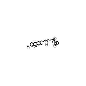 C=c1cc2c(cc1CCCNCCCC(=O)ON1CCCC1=O)=CC1=CCC(N(C)C)C=C1C2(C)C